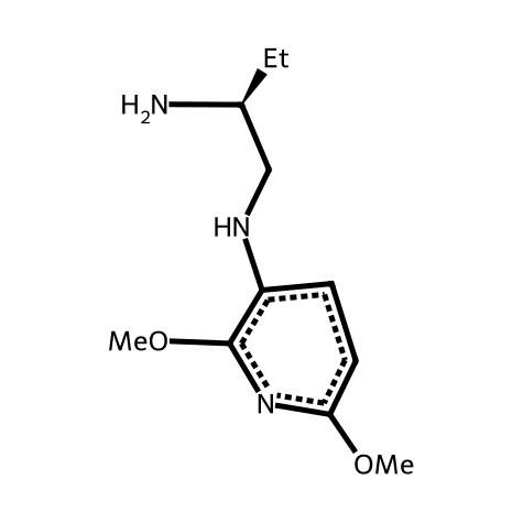 CC[C@H](N)CNc1ccc(OC)nc1OC